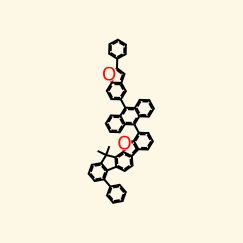 CC1(C)c2cccc(-c3ccccc3)c2-c2ccc3c(oc4c(-c5c6ccccc6c(-c6ccc7oc(-c8ccccc8)cc7c6)c6ccccc56)cccc43)c21